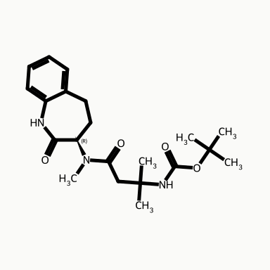 CN(C(=O)CC(C)(C)NC(=O)OC(C)(C)C)[C@@H]1CCc2ccccc2NC1=O